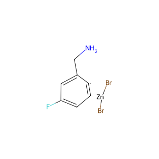 NCc1[c]ccc(F)c1.[Br][Zn][Br]